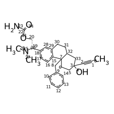 CC#CC1(O)CCC2(Cc3ccccc3)c3ccc([C@@H](COC(N)=O)N(C)C)cc3CCC2C1